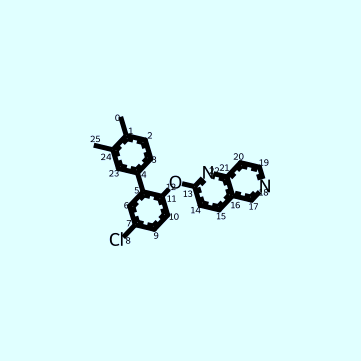 Cc1ccc(-c2cc(Cl)ccc2Oc2ccc3cnccc3n2)cc1C